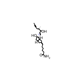 CC#CC[C@H](C)[C@@H](O)/C=C/[C@@H]1[C@H]2CC(=CCCCCC(N)=O)C[C@H]2C[C@H]1O